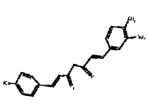 COc1cc(/C=C/C(=O)CC(=O)/C=C/c2ccc(O)cc2)ccc1C